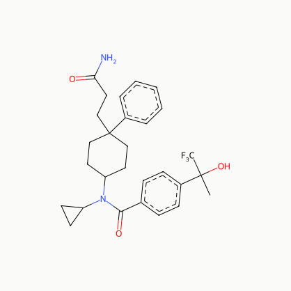 CC(O)(c1ccc(C(=O)N(C2CC2)C2CCC(CCC(N)=O)(c3ccccc3)CC2)cc1)C(F)(F)F